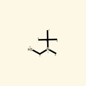 CN(CS)C(C)(C)C